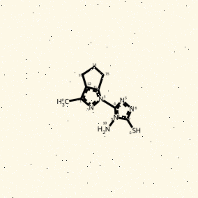 Cc1nn(-c2nnc(S)n2N)c2c1CCC2